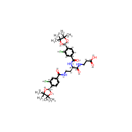 CC1(C)OB(c2ccc(C(=O)NCC[C@@H](NC(=O)c3ccc(B4OC(C)(C)C(C)(C)O4)c(F)c3)C(=O)NCCC(=O)O)cc2F)OC1(C)C